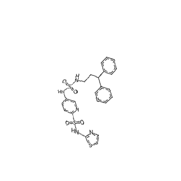 O=S(=O)(NCCC(c1ccccc1)c1ccccc1)Nc1ccc(S(=O)(=O)Nc2nccs2)nc1